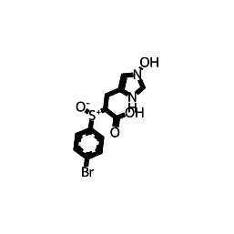 O=C(O)C(CC1=CN(O)CN1)[S+]([O-])c1ccc(Br)cc1